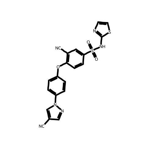 N#Cc1cnn(-c2ccc(Oc3ccc(S(=O)(=O)Nc4nccs4)cc3C#N)cc2)c1